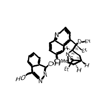 CCO[C@@](CC)(c1ccnc2ccc(OC)cc12)[C@H]1C[C@@H]2CCN1C[C@@H]2CC.Oc1nnc(O)c2ccccc12